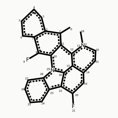 Cc1c2ccccc2c(F)c2c1c1c3c(cc[n+]1C)cc(F)c1c4ccccc4n2c13